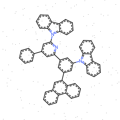 c1ccc(-c2cc(-c3cc(-c4cc5ccccc5c5ccccc45)cc(-n4c5ccccc5c5ccccc54)c3)nc(-n3c4ccccc4c4ccccc43)c2)cc1